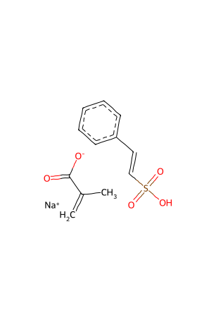 C=C(C)C(=O)[O-].O=S(=O)(O)C=Cc1ccccc1.[Na+]